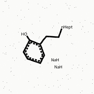 CCCCCCCCCc1ccccc1O.[NaH].[NaH]